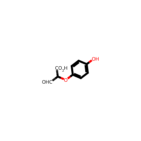 O=CC(Oc1ccc(O)cc1)C(=O)O